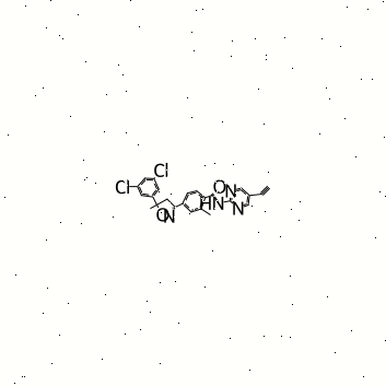 C#Cc1cnc(NC(=O)c2ccc(C3=NOC(C)(c4cc(Cl)cc(Cl)c4)C3)cc2C)nc1